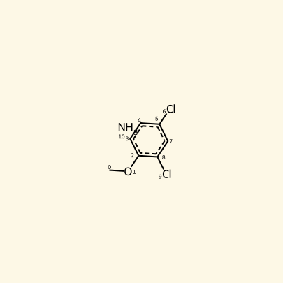 COc1ccc(Cl)cc1Cl.N